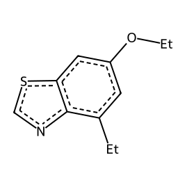 [CH2]COc1cc(CC)c2ncsc2c1